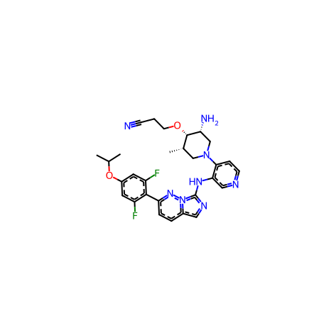 CC(C)Oc1cc(F)c(-c2ccc3cnc(Nc4cnccc4N4C[C@@H](N)[C@@H](OCCC#N)[C@@H](C)C4)n3n2)c(F)c1